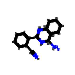 N#Cc1ccccc1-c1nc(N)c2ccccc2n1